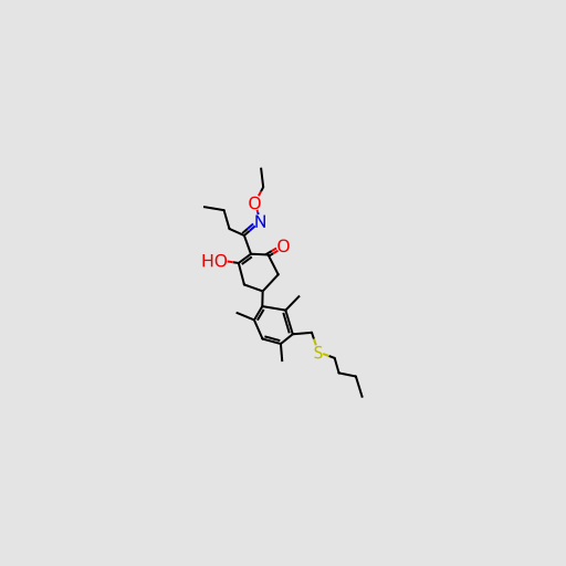 CCCCSCc1c(C)cc(C)c(C2CC(=O)C(C(CCC)=NOCC)=C(O)C2)c1C